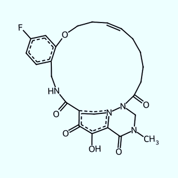 CN1CN2C(=O)CCCC/C=C\CCOc3cc(F)ccc3CNC(=O)c3cn2c(c(O)c3=O)C1=O